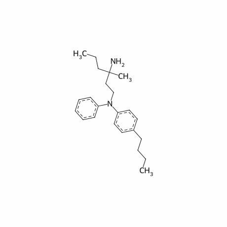 CCCCc1ccc(N(CCC(C)(N)CCC)c2ccccc2)cc1